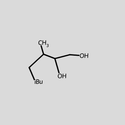 CCC(C)CC(C)C(O)CO